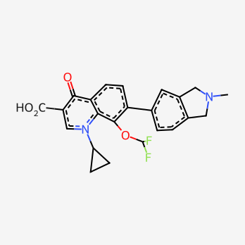 CN1Cc2ccc(-c3ccc4c(=O)c(C(=O)O)cn(C5CC5)c4c3OC(F)F)cc2C1